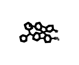 Cc1ccc2c(c1)C1(c3cc(Br)ccc3-c3ccc(Br)cc31)c1cc(N(c3ccccc3)c3ccccc3)ccc1-2